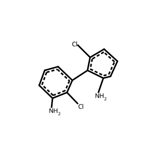 Nc1cccc(-c2c(N)cccc2Cl)c1Cl